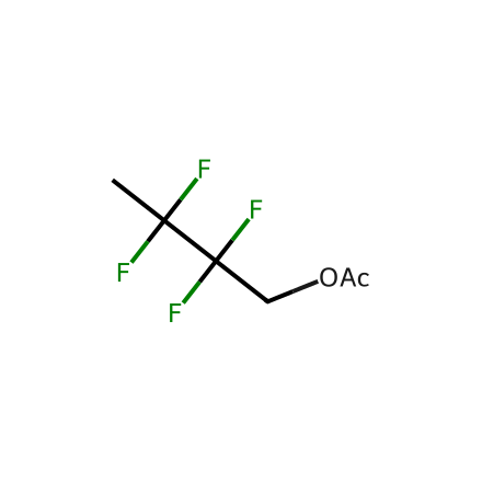 CC(=O)OCC(F)(F)C(C)(F)F